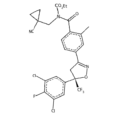 CCOC(=O)N(CC1(C#N)CC1)C(=O)c1ccc(C2=NO[C@@](c3cc(Cl)c(F)c(Cl)c3)(C(F)(F)F)C2)cc1C